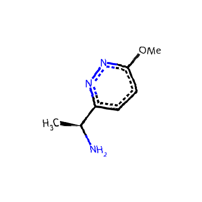 COc1ccc([C@H](C)N)nn1